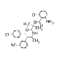 C[C@H](NC(=O)C(C)(C)OC(=O)c1c(N)cccc1Cl)[C@@H](Cc1ccc(Cl)cc1)c1cccc(C#N)c1